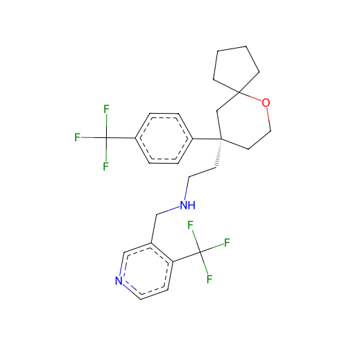 FC(F)(F)c1ccc([C@]2(CCNCc3cnccc3C(F)(F)F)CCOC3(CCCC3)C2)cc1